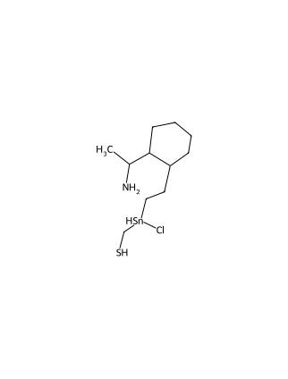 CC(N)C1CCCCC1C[CH2][SnH]([Cl])[CH2]S